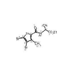 CCOC(=O)C(C#N)NC(=O)c1sc(Br)c(Br)c1C